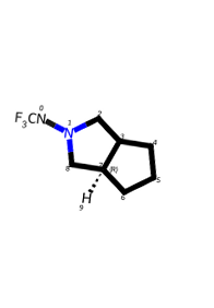 FC(F)(F)NN1CC2CCC[C@H]2C1